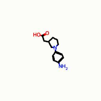 Nc1ccc(N2CCCC(CC(=O)O)C2)cc1